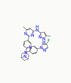 Cc1cc(Nc2cc(C)[nH]n2)nc(-c2ccc(N3CC4CC(C3)N4Cc3ccc(-n4cc(F)cn4)cc3)nc2)n1